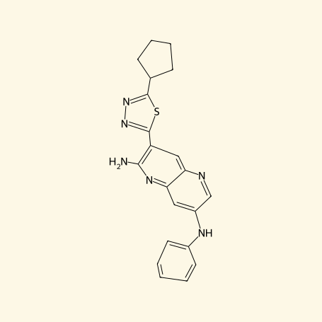 Nc1nc2cc(Nc3ccccc3)cnc2cc1-c1nnc(C2CCCC2)s1